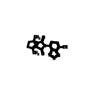 CC12CCC(C)(O1)C1C(=O)N(c3ccc(C#N)c4nsnc34)C(=O)C12